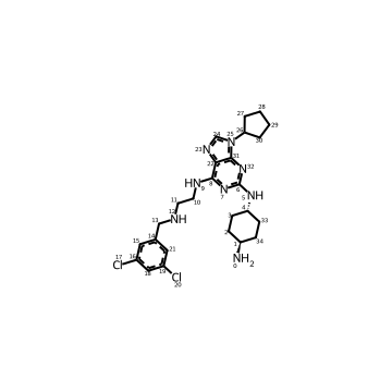 N[C@H]1CC[C@H](Nc2nc(NCCNCc3cc(Cl)cc(Cl)c3)c3ncn(C4CCCC4)c3n2)CC1